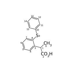 CC(C(=O)O)c1ccccc1Sc1ccccc1